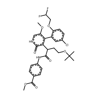 COC(=O)c1ccc(NC(=O)C(CCOC(C)(C)C)c2c(-c3cc(Cl)ccc3OCC(F)F)c(OC)c[nH]c2=O)cc1